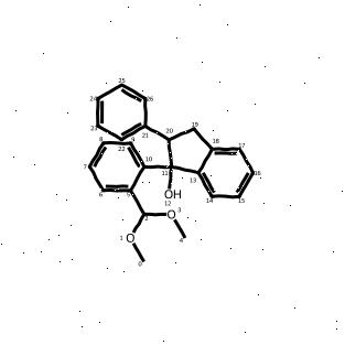 COC(OC)c1ccccc1C1(O)c2ccccc2CC1c1ccccc1